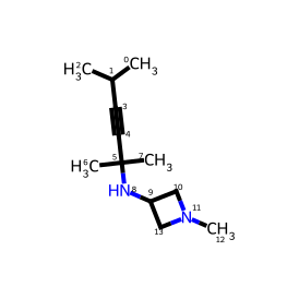 CC(C)C#CC(C)(C)NC1CN(C)C1